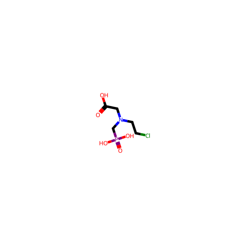 O=C(O)CN(CCCl)CP(=O)(O)O